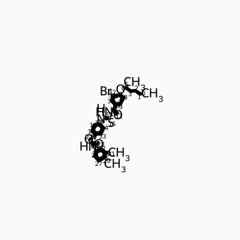 CCCCC(C)Oc1ccc(C(=O)NC(=S)Nc2ccc(S(=O)(=O)Nc3ccc(C)c(C)c3)cc2)cc1Br